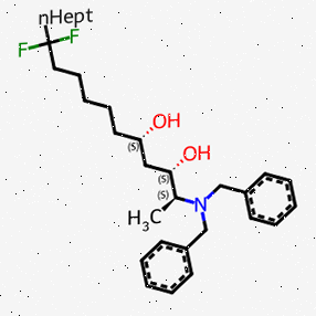 CCCCCCCC(F)(F)CCCCC[C@H](O)C[C@H](O)[C@H](C)N(Cc1ccccc1)Cc1ccccc1